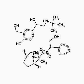 CC(C)(C)NCC(O)c1ccc(O)c(CO)c1.CC(C)[N@@+]1(C)[C@@H]2CC[C@H]1C[C@@H](OC(=O)C(CO)c1ccccc1)C2